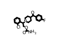 NC(=O)OCC(c1ccccc1Cl)N1CCC(C(=O)c2ccc(F)cc2)CC1